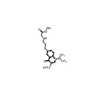 CCOC(=O)c1cn(N(C)C)c2ccc(CCCNCC(=O)OC(C)(C)C)cc2c1=O